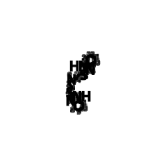 CN(CCSc1nc2ccccc2[nH]1)CCSc1nc2ccccc2[nH]1